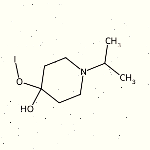 CC(C)N1CCC(O)(OI)CC1